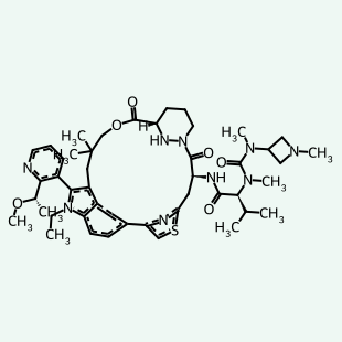 CCn1c(-c2cccnc2[C@H](C)OC)c2c3cc(ccc31)-c1csc(n1)C[C@H](NC(=O)[C@H](C(C)C)N(C)C(=O)N(C)C1CN(C)C1)C(=O)N1CCC[C@H](N1)C(=O)OCC(C)(C)C2